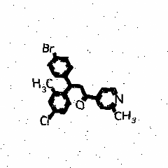 Cc1cc(C(=O)CC(c2ccc(Br)cc2)c2ccc(Cl)cc2C)ccn1